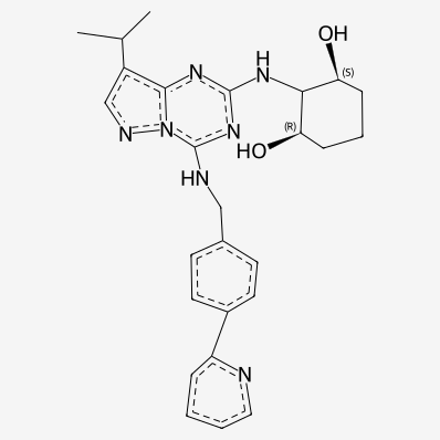 CC(C)c1cnn2c(NCc3ccc(-c4ccccn4)cc3)nc(NC3[C@H](O)CCC[C@@H]3O)nc12